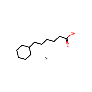 O=C(O)CCCCCC1CCCCC1.[Si]